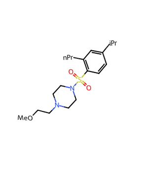 CCCc1cc(C(C)C)ccc1S(=O)(=O)N1CCN(CCOC)CC1